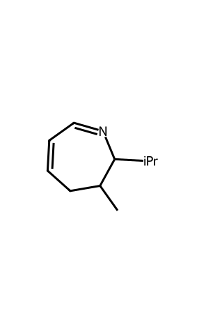 CC(C)C1N=CC=CCC1C